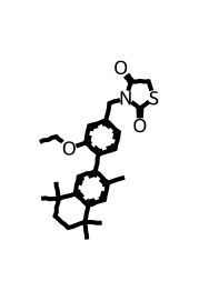 CCOc1cc(CN2C(=O)CSC2=O)ccc1-c1cc2c(cc1C)C(C)(C)CCC2(C)C